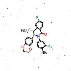 CC(C)(C)c1ccc(N2C(=O)c3ccc(F)cc3[C@@H](C(=O)O)[C@@H]2c2ccc3c(c2)OCCO3)cc1Cl